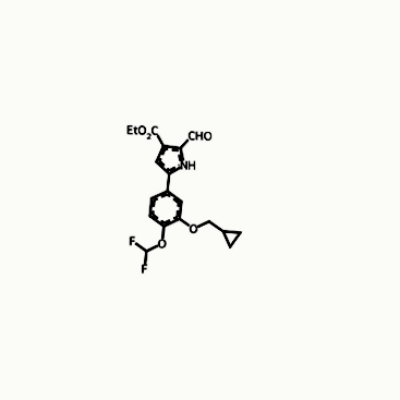 CCOC(=O)c1cc(-c2ccc(OC(F)F)c(OCC3CC3)c2)[nH]c1C=O